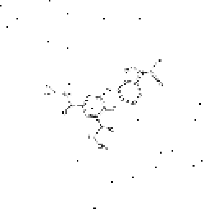 CNC(=O)c1cc(C(=O)NC2CC2)cn(Cc2cccc3c2ncn3C(=O)O)c1=O